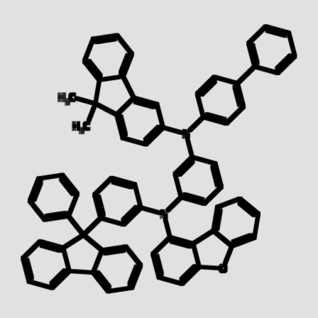 CC1(C)c2ccccc2-c2cc(N(c3ccc(-c4ccccc4)cc3)c3cccc(N(c4cccc(C5(c6ccccc6)c6ccccc6-c6ccccc65)c4)c4cccc5oc6ccccc6c45)c3)ccc21